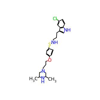 CC1CN(CCCOc2ccc(SNCCCc3c[nH]c4ccc(Cl)cc34)cc2)CC(C)N1